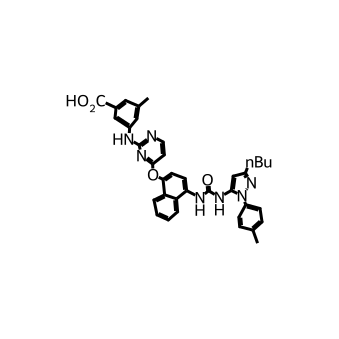 CCCCc1cc(NC(=O)Nc2ccc(Oc3ccnc(Nc4cc(C)cc(C(=O)O)c4)n3)c3ccccc23)n(-c2ccc(C)cc2)n1